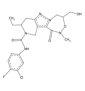 CCC1Cc2nn3c(c2CN1C(=O)Nc1ccc(F)c(Cl)c1)C(=O)N(C)OC(CO)C3